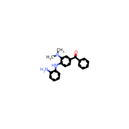 CN(C)c1cc(C(=O)c2ccccc2)ccc1Nc1ccccc1N